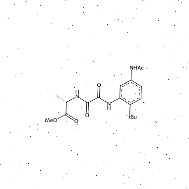 COC(=O)[C@H](C)NC(=O)C(=O)Nc1cc(NC(C)=O)ccc1C(C)(C)C